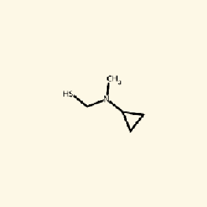 CN(CS)C1CC1